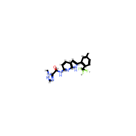 Cc1ccc(C(F)(F)F)c(-c2cc3ccc(NC(=O)c4ncnn4C)nc3[nH]2)c1